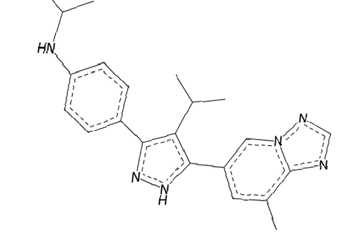 Cc1cc(-c2[nH]nc(-c3ccc(NC(C)C)cc3)c2C(C)C)cn2ncnc12